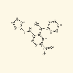 O=[N+]([O-])c1ccc(NCc2cccs2)c(C(O)c2ccccc2)c1